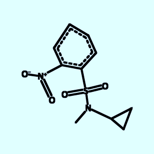 CN(C1CC1)S(=O)(=O)c1ccccc1[N+](=O)[O-]